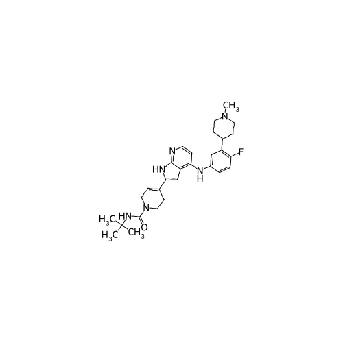 CN1CCC(c2cc(Nc3ccnc4[nH]c(C5=CCN(C(=O)NC(C)(C)C)CC5)cc34)ccc2F)CC1